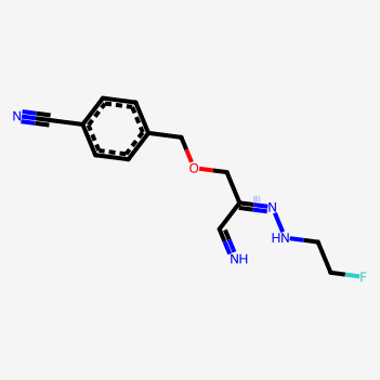 N#Cc1ccc(COC/C(C=N)=N/NCCF)cc1